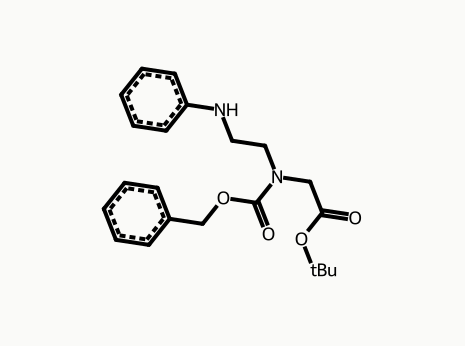 CC(C)(C)OC(=O)CN(CCNc1ccccc1)C(=O)OCc1ccccc1